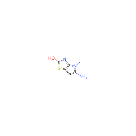 Cn1c(N)cc2sc(O)nc21